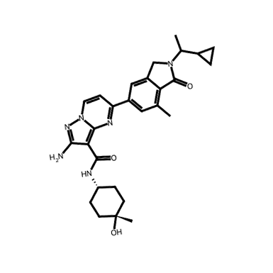 Cc1cc(-c2ccn3nc(N)c(C(=O)N[C@H]4CC[C@@](C)(O)CC4)c3n2)cc2c1C(=O)N(C(C)C1CC1)C2